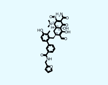 Cc1c(O)ccc(-c2cccc(C(=O)NCc3ccco3)c2)c1C[C@H]1C[C@H]2[C@H](N(C)C)C(N=O)=C(C(N)=O)C(=O)[C@@]2(O)C(O)=C1C=O